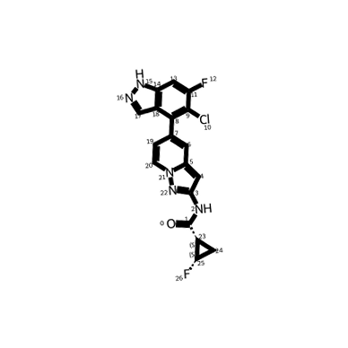 O=C(Nc1cc2cc(-c3c(Cl)c(F)cc4[nH]ncc34)ccn2n1)[C@@H]1C[C@@H]1F